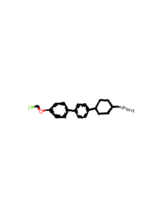 CCCCCC1CCC(c2ccc(-c3ccc(OCF)cc3)cc2)CC1